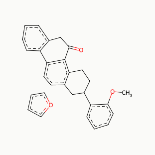 COc1ccccc1C1CCc2c(ccc3c2C(=O)Cc2ccccc2-3)C1.c1ccoc1